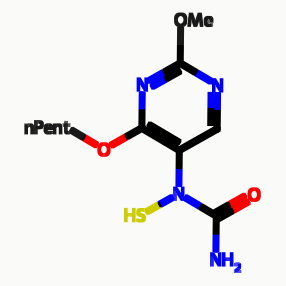 CCCCCOc1nc(OC)ncc1N(S)C(N)=O